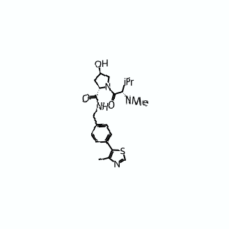 CN[C@H](C(=O)N1C[C@H](O)C[C@H]1C(=O)NCc1ccc(-c2scnc2C)cc1)C(C)C